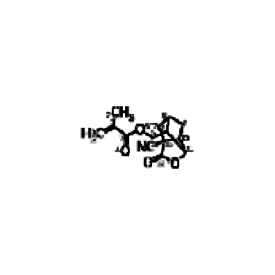 C=C(C)C(=O)OCC1C2CC3C1OC(=O)C3(C#N)C2